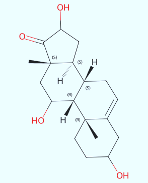 C[C@]12CCC(O)CC1=CC[C@@H]1[C@H]2C(O)C[C@]2(C)C(=O)C(O)C[C@@H]12